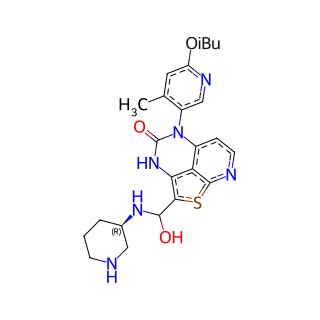 Cc1cc(OCC(C)C)ncc1N1C(=O)Nc2c(C(O)N[C@@H]3CCCNC3)sc3nccc1c23